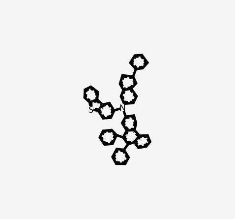 c1ccc(-c2ccc3cc(N(c4ccc5c(c4)c(-c4ccccc4)c(-c4ccccc4)c4ccccc45)c4ccc5sc6ccccc6c5c4)ccc3c2)cc1